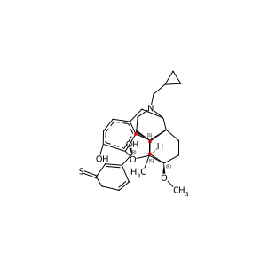 CO[C@]12CCC3(CC1(C)[C@H](O)C1=CC(=S)CC=C1)C1Cc4ccc(O)c5c4[C@@]3(CCN1CC1CC1)[C@@H]2O5